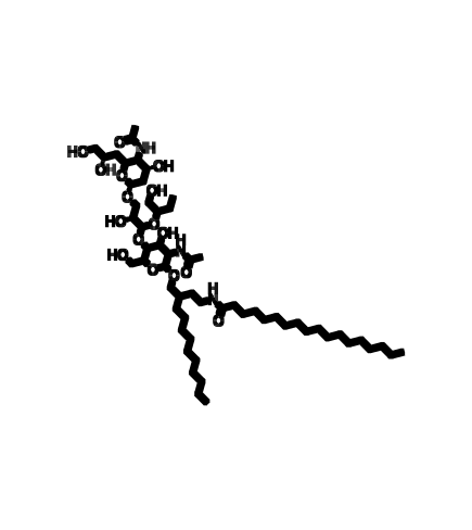 CCCCCCCCCCCCCCCCCC(=O)NCCC(CCCCCCCCCC)COC1OC(CO)C(OC(OC(CC)CO)[C@@H](O)CO[C@@H]2C[C@@H](O)C(NC(C)=O)C(C[C@H](O)CO)O2)C(O)C1NC(C)=O